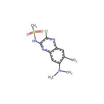 CN(C)c1cc2nc(NS(C)(=O)=O)c(Cl)nc2cc1[N+](=O)[O-]